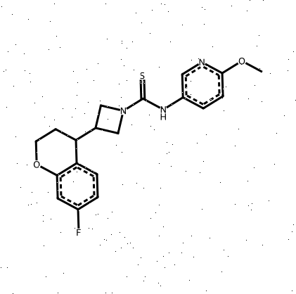 COc1ccc(NC(=S)N2CC(C3CCOc4cc(F)ccc43)C2)cn1